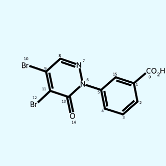 O=C(O)c1cccc(-n2ncc(Br)c(Br)c2=O)c1